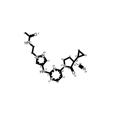 CC(=O)NCCn1cc(Nc2nccc(N3CC[C@@](C#N)(C4CC4)C3=O)n2)cn1